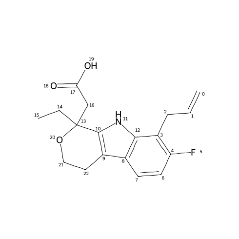 C=CCc1c(F)ccc2c3c([nH]c12)C(CC)(CC(=O)O)OCC3